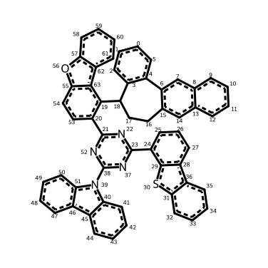 c1ccc2c(c1)-c1cc3ccccc3cc1CCC2c1c(-c2nc(-c3cccc4c3sc3ccccc34)nc(-n3c4ccccc4c4ccccc43)n2)ccc2oc3ccccc3c12